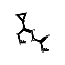 CNC(=O)ON=C(CSC)C1CC1